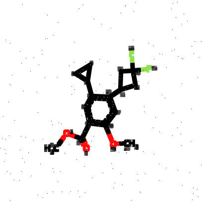 COC(=O)c1cc(C2CC2)c(C2CC(F)(F)C2)cc1OC